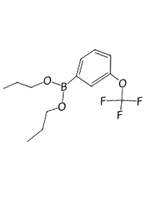 CCCOB(OCCC)c1cccc(OC(F)(F)F)c1